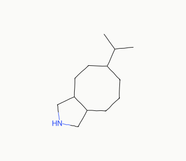 CC(C)C1CCCC2CNCC2CC1